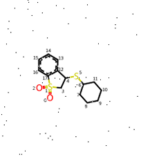 O=S1(=O)CC(SC2CCCCC2)c2ccccc21